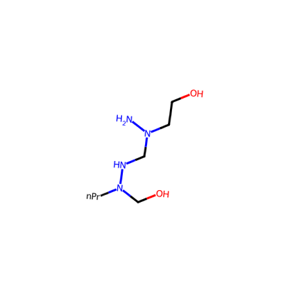 CCCN(CO)NCN(N)CCO